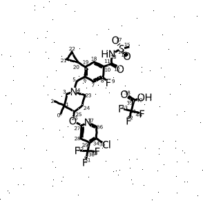 CC1(C)CN(Cc2cc(F)c(C(=O)NS(C)(=O)=O)cc2C2CC2)CCC1Oc1cc(C(F)(F)F)c(Cl)cn1.O=C(O)C(F)(F)F